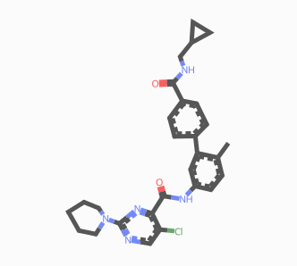 Cc1ccc(NC(=O)c2nc(N3CCCCC3)ncc2Cl)cc1-c1ccc(C(=O)NCC2CC2)cc1